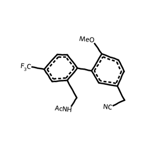 COc1ccc(CC#N)cc1-c1ccc(C(F)(F)F)cc1CNC(C)=O